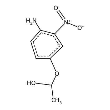 CC(O)Oc1ccc(N)c([N+](=O)[O-])c1